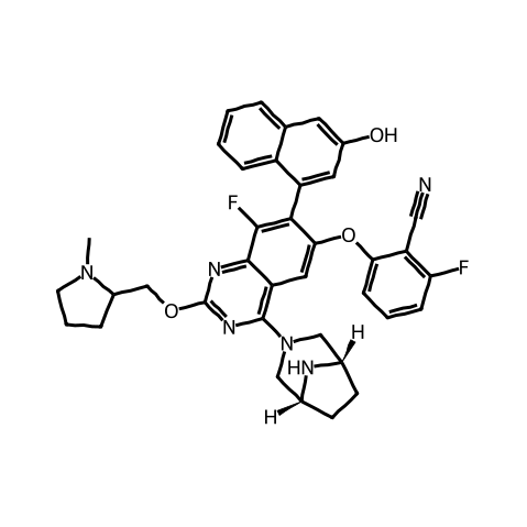 CN1CCCC1COc1nc(N2C[C@H]3CC[C@@H](C2)N3)c2cc(Oc3cccc(F)c3C#N)c(-c3cc(O)cc4ccccc34)c(F)c2n1